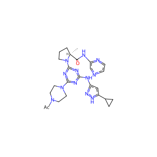 CC(=O)N1CCN(c2nc(Nc3cc(C4CC4)[nH]n3)nc(N3CCC[C@@]3(C)C(=O)Nc3cnccn3)n2)CC1